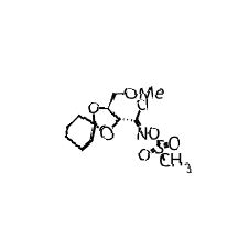 COC[C@@H]1OC2(CCCCC2)O[C@H]1C(Cl)=NOS(C)(=O)=O